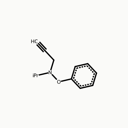 C#CCN(Oc1ccccc1)C(C)C